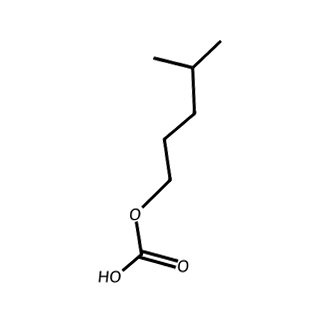 CC(C)CCCOC(=O)O